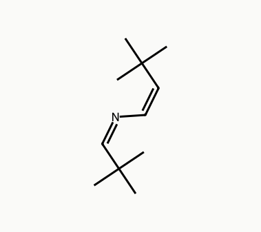 CC(C)(C)/C=C\N=C/C(C)(C)C